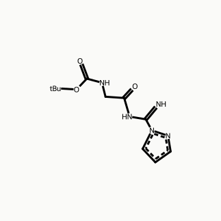 CC(C)(C)OC(=O)NCC(=O)NC(=N)n1cccn1